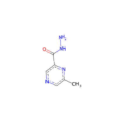 Cc1cncc(C(=O)NN)n1